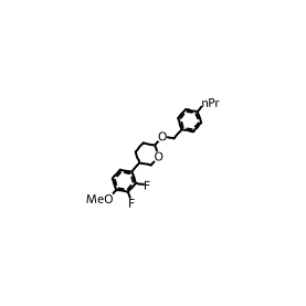 CCCc1ccc(COC2CCC(c3ccc(OC)c(F)c3F)CO2)cc1